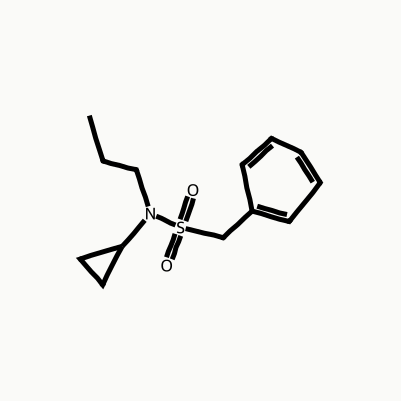 CCCN(C1CC1)S(=O)(=O)Cc1ccccc1